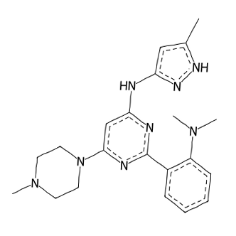 Cc1cc(Nc2cc(N3CCN(C)CC3)nc(-c3ccccc3N(C)C)n2)n[nH]1